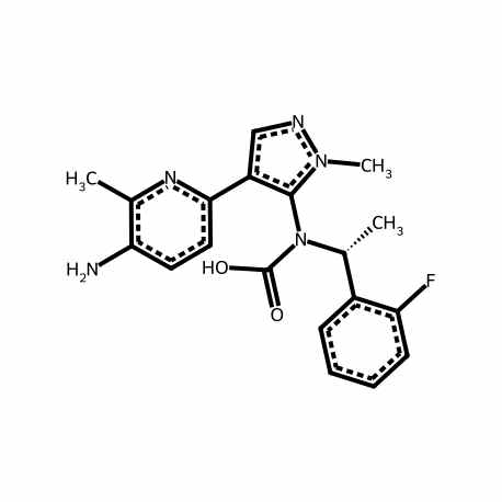 Cc1nc(-c2cnn(C)c2N(C(=O)O)[C@H](C)c2ccccc2F)ccc1N